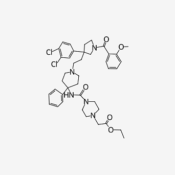 CCOC(=O)CN1CCN(C(=O)NC2(c3ccccc3)CCN(CCC3(c4ccc(Cl)c(Cl)c4)CCN(C(=O)c4ccccc4OC)C3)CC2)CC1